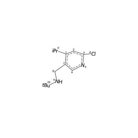 CC(C)c1cc(Cl)ncc1CNC(C)(C)C